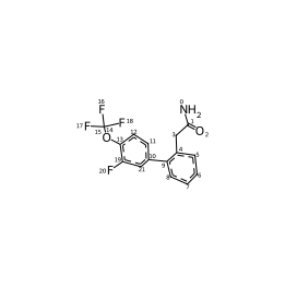 NC(=O)Cc1ccccc1-c1ccc(OC(F)(F)F)c(F)c1